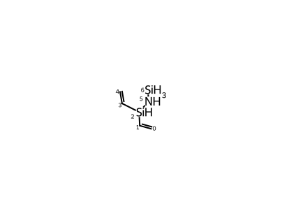 C=C[SiH](C=C)N[SiH3]